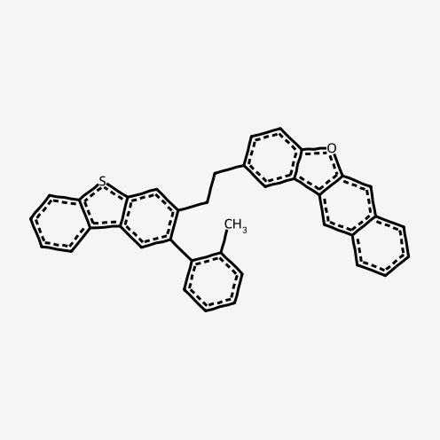 Cc1ccccc1-c1cc2c(cc1CCc1ccc3oc4cc5ccccc5cc4c3c1)sc1ccccc12